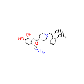 Cc1ccccc1C(C)CN1CCC([C@H]2Cc3c(ccc(O)c3O)[C@@H](CN)O2)CC1